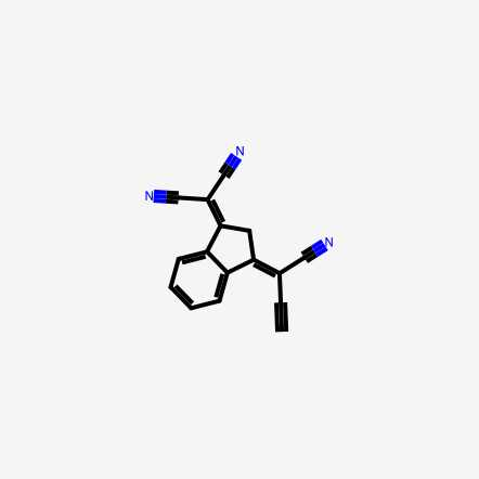 C#C/C(C#N)=C1/CC(=C(C#N)C#N)c2ccccc21